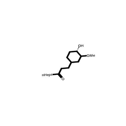 CCCCCCCC(=O)CCC1CC[C@H](O)C(OC)C1